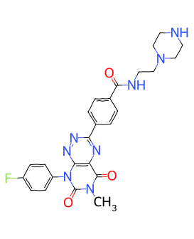 Cn1c(=O)c2nc(-c3ccc(C(=O)NCCN4CCNCC4)cc3)nnc2n(-c2ccc(F)cc2)c1=O